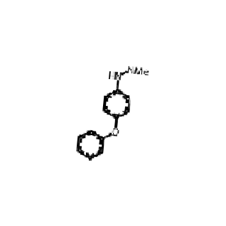 CNNc1ccc(Oc2ccccc2)cc1